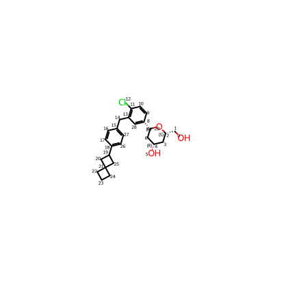 OC[C@@H]1C[C@H](O)C[C@H](c2ccc(Cl)c(Cc3ccc(C4CC5(CCC5)C4)cc3)c2)O1